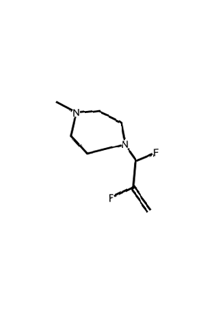 C=C(F)C(F)N1CCN(C)CC1